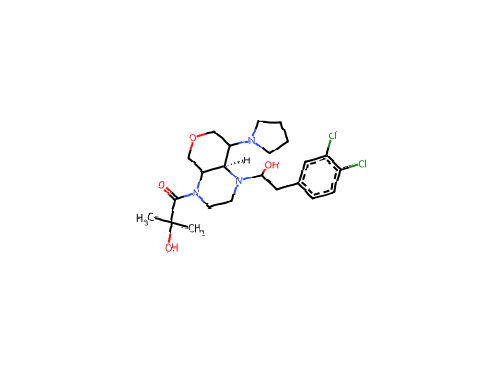 CC(C)(O)C(=O)N1CCN(C(O)Cc2ccc(Cl)c(Cl)c2)[C@@H]2C(N3CCCC3)COCC21